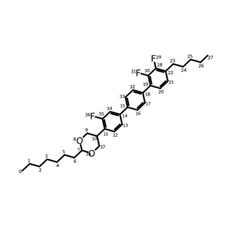 CCCCCCCC1OCC(c2ccc(-c3ccc(-c4ccc(CCCCC)c(F)c4F)cc3)cc2F)CO1